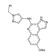 COc1ccc2nc(Nc3cnn(CC(C)C)c3)c3[nH]ncc3c2c1